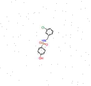 O=S(=O)(NCc1cccc(Cl)c1)c1ccc(O)cc1